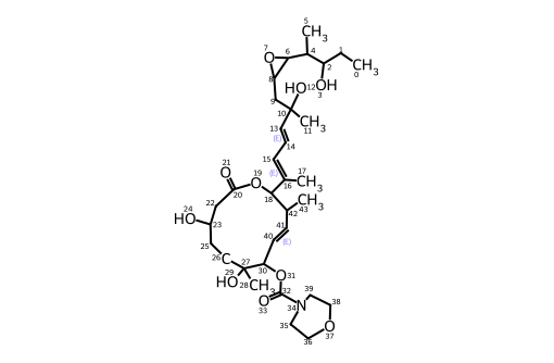 CCC(O)C(C)C1OC1CC(C)(O)/C=C/C=C(\C)C1OC(=O)CC(O)CCC(C)(O)C(OC(=O)N2CCOCC2)/C=C/C1C